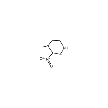 CN1CCN[CH]C1[N+](=O)[O-]